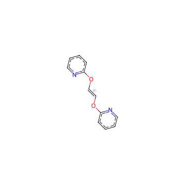 C(=C\Oc1ccccn1)/Oc1ccccn1